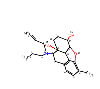 C=CCN(CCC)C1Cc2ccc(C)c3c2C2C(O3)C(O)CC[C@]21O